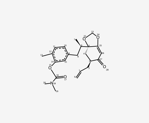 C=CC[C@H]1C[C@]2([C@H](C)Cc3ccc(C)c(OC(=O)N(C)C)c3)OCOC2=CC1=O